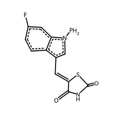 O=C1NC(=O)/C(=C/c2cn(P)c3cc(F)ccc23)S1